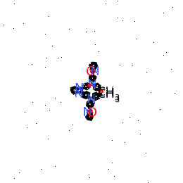 Cc1ccc(N(c2ccc(-c3nc4ccccc4o3)cc2)c2ccc(-c3nc4ccccc4nc3-c3ccc(N(c4ccc(C)cc4)c4ccc(-c5nc6ccccc6o5)cc4)cc3)cc2)cc1